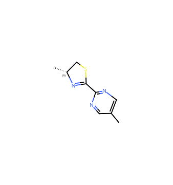 Cc1cnc(C2=N[C@H](C)CS2)nc1